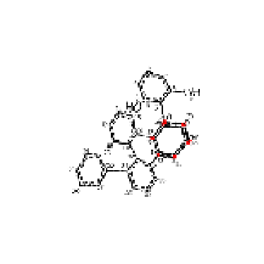 Oc1cccc(O)c1-c1ccccc1-c1ccccc1-c1c(-c2ccccc2)cccc1-c1ccccc1